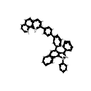 c1ccc(-c2nn(-c3ccccc3)c3c2c(-c2cccc(-c4ccc(-c5ccc6ccc7cccnc7c6n5)cc4)c2)cc2ccccc23)cc1